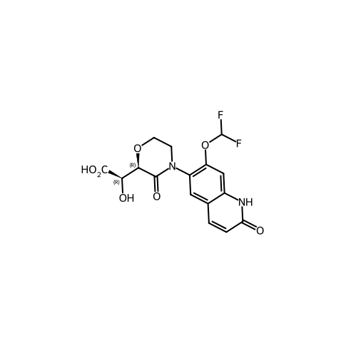 O=C(O)[C@H](O)[C@H]1OCCN(c2cc3ccc(=O)[nH]c3cc2OC(F)F)C1=O